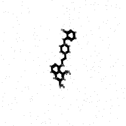 Nc1nc(N)c2c(OCCN3CCN(Cc4ccccc4F)CC3)cccc2n1